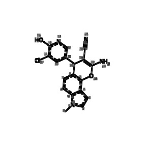 Cn1ccc2c3c(ccc21)C(c1cnc(O)c(Cl)c1)C(C#N)=C(N)O3